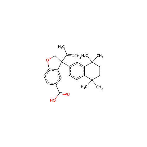 C=C(C)C1(c2ccc3c(c2)C(C)(C)CCC3(C)C)COc2ccc(C(=O)O)cc21